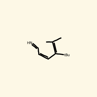 CC(C)=C(/C=C\C=N)C(C)(C)C